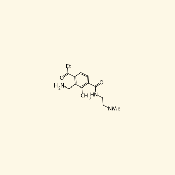 CCC(=O)c1ccc(C(=O)NCCNC)c(C)c1CN